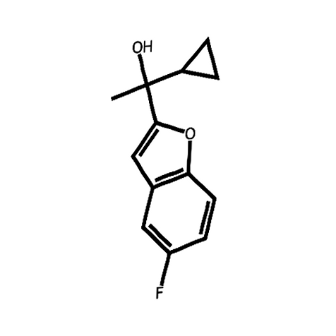 CC(O)(c1cc2cc(F)ccc2o1)C1CC1